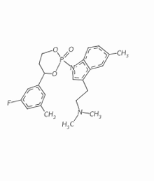 Cc1cc(F)cc(C2CCOP(=O)(n3cc(CCN(C)C)c4cc(C)ccc43)O2)c1